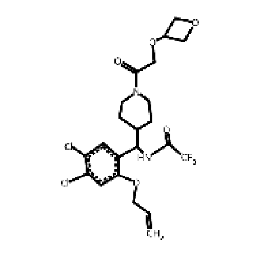 C=CCOc1cc(Cl)c(Cl)cc1C(NC(=O)C(F)(F)F)C1CCN(C(=O)COC2COC2)CC1